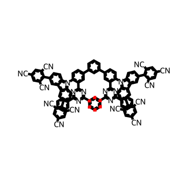 N#Cc1cc(C#N)c(-c2ccc3c(c2)c2cc(-c4c(C#N)cc(C#N)cc4C#N)ccc2n3-c2ccc(-c3cccc(-c4ccc(-n5c6ccc(-c7c(C#N)cc(C#N)cc7C#N)cc6c6cc(-c7c(C#N)cc(C#N)cc7C#N)ccc65)c(-c5nc(-c6ccccc6)nc(-c6ccccc6)n5)c4)c3)cc2-c2nc(-c3ccccc3)nc(-c3ccccc3)n2)c(C#N)c1